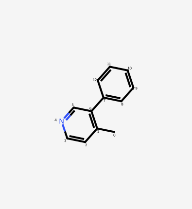 Cc1ccncc1-c1c[c]ccc1